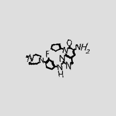 CN1CCN(c2ccc(Nc3ncc4cc(N)c(=O)n(C5CCCC5)c4n3)cc2F)CC1